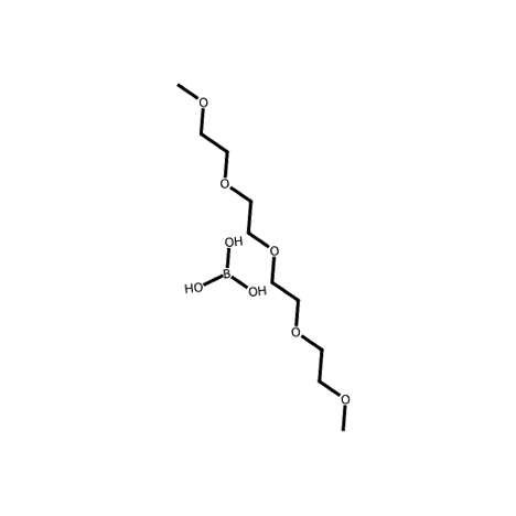 COCCOCCOCCOCCOC.OB(O)O